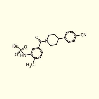 CCC(C)S(=O)(=O)Nc1cc(C(=O)N2CCC(c3ccc(C#N)cc3)CC2)ccc1C